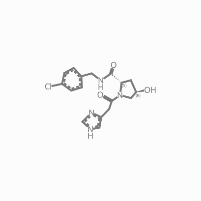 O=C(NCc1ccc(Cl)cc1)[C@@H]1C[C@@H](O)CN1C(=O)Cc1c[nH]cn1